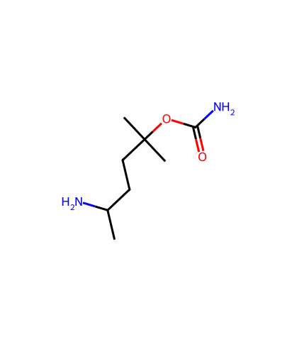 CC(N)CCC(C)(C)OC(N)=O